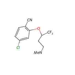 CNCCC(Oc1cc(Cl)ccc1C#N)C(F)(F)F